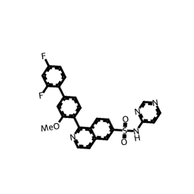 COc1cc(-c2ccc(F)cc2F)ccc1-c1nccc2cc(S(=O)(=O)Nc3ccncn3)ccc12